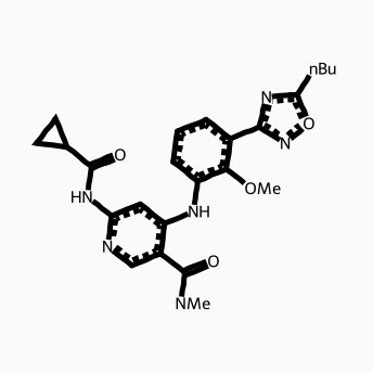 CCCCc1nc(-c2cccc(Nc3cc(NC(=O)C4CC4)ncc3C(=O)NC)c2OC)no1